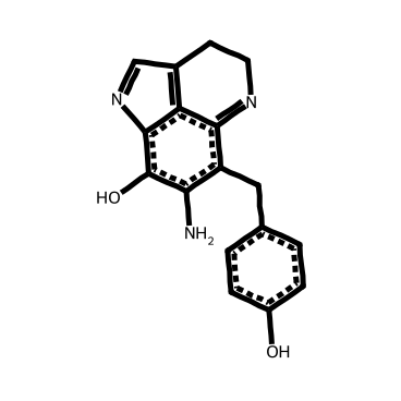 Nc1c(O)c2c3c(c1Cc1ccc(O)cc1)=NCCC=3C=N2